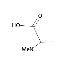 C[N]C(C)C(=O)O